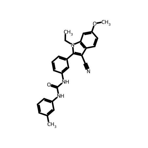 CCn1c(-c2cccc(NC(=O)Nc3cccc(C)c3)c2)c(C#N)c2ccc(OC)cc21